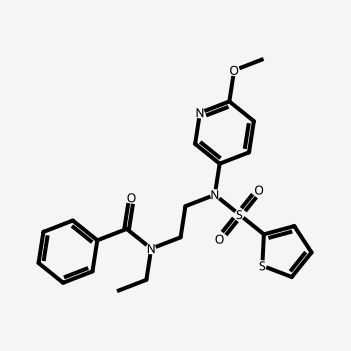 CCN(CCN(c1ccc(OC)nc1)S(=O)(=O)c1cccs1)C(=O)c1ccccc1